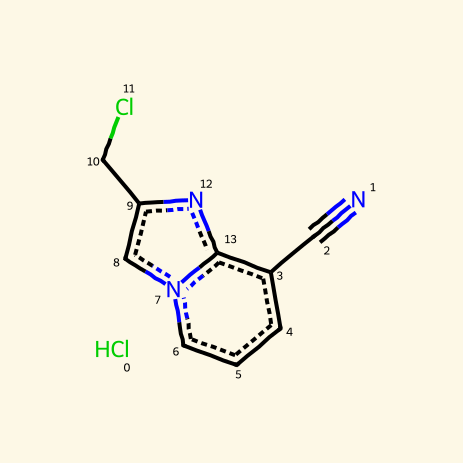 Cl.N#Cc1cccn2cc(CCl)nc12